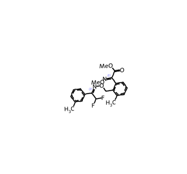 CO/N=C(/C(=O)OC)c1cccc(C)c1CO/N=C(/c1cccc(C)c1)C(F)F